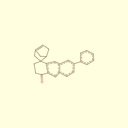 O=C1CCC2(CC3=CCC2C3)c2cc3cc(-c4ccccc4)ccc3cc21